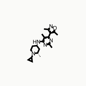 Cc1nc(N[C@H]2CCN(C3CC3)[C@@H](C)C2)c(C)c(-c2c(C)noc2C)n1